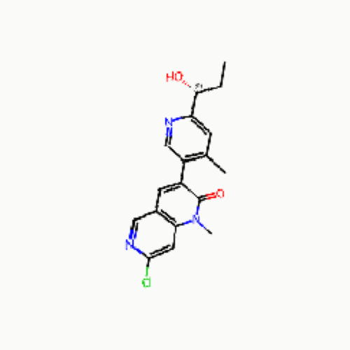 CC[C@@H](O)c1cc(C)c(-c2cc3cnc(Cl)cc3n(C)c2=O)cn1